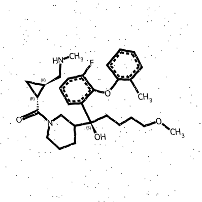 CNC[C@@H]1C[C@H]1C(=O)N1CCCC([C@@](O)(CCCCOC)c2cccc(F)c2Oc2ccccc2C)C1